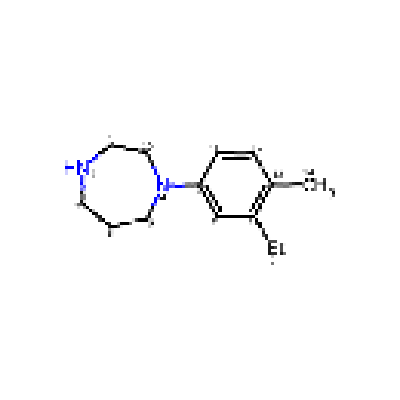 CCc1cc(N2CCCNCC2)ccc1C